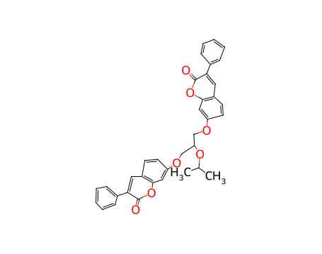 CC(C)OC(COc1ccc2cc(-c3ccccc3)c(=O)oc2c1)COc1ccc2cc(-c3ccccc3)c(=O)oc2c1